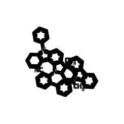 CC1C=C[C@@]2(C)c3ccc4c(c5c(n4-c4ccccc4)CCC=C5)c3N(c3c(C#N)cccc3-c3cccc(-n4c5ccccc5c5ccccc54)c3)C2C1